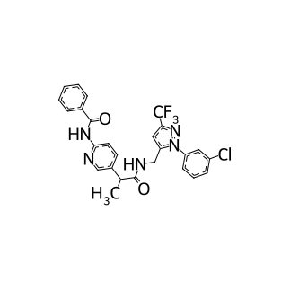 CC(C(=O)NCc1cc(C(F)(F)F)nn1-c1cccc(Cl)c1)c1ccc(NC(=O)c2ccccc2)nc1